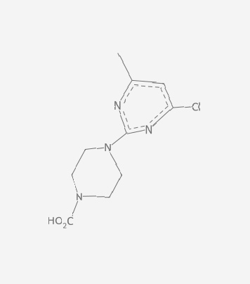 Cc1cc(Cl)nc(N2CCN(C(=O)O)CC2)n1